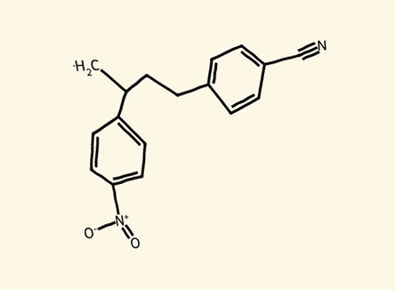 [CH2]C(CCc1ccc(C#N)cc1)c1ccc([N+](=O)[O-])cc1